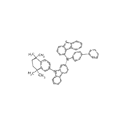 CC1(C)CCC(C)(C)c2cc(-n3c4ccccc4c4ccc(N(c5ccc(-c6ccccc6)cc5)c5cccc6sc7ccccc7c56)cc43)ccc21